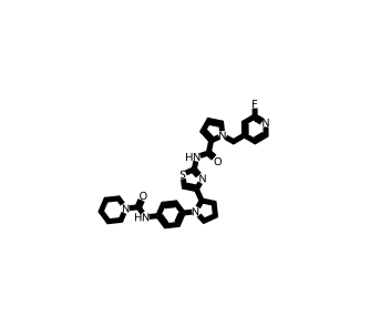 O=C(Nc1nc(C2CCCN2c2ccc(NC(=O)N3CCCCC3)cc2)cs1)c1cccn1Cc1ccnc(F)c1